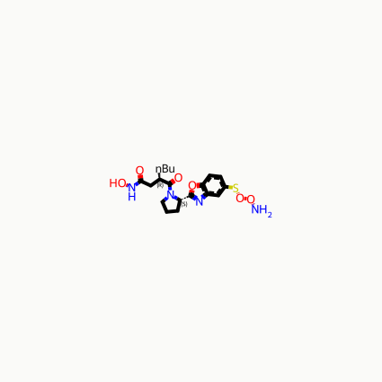 CCCC[C@H](CC(=O)NO)C(=O)N1CCC[C@H]1c1nc2cc(SOON)ccc2o1